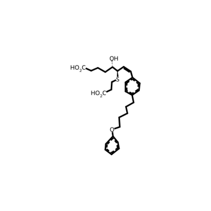 O=C(O)CCC[C@H](O)[C@@H](/C=C\c1ccc(CCCCCOc2ccccc2)cc1)SCCC(=O)O